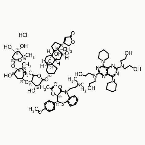 COc1ccc([C@@H]2Sc3ccccc3N(CCN(C)C)C(=O)[C@@H]2OC(C)=O)cc1.C[C@H]1O[C@@H](O[C@H]2[C@@H](O)C[C@H](O[C@H]3[C@@H](O)C[C@H](O[C@H]4CC[C@@]5(C)[C@H](CC[C@@H]6[C@@H]5C[C@@H](O)[C@]5(C)[C@@H](C7=CC(=O)OC7)CC[C@]65O)C4)O[C@@H]3C)O[C@@H]2C)C[C@H](O)[C@@H]1O.Cl.OCCN(CCO)c1nc(N2CCCCC2)c2nc(N(CCO)CCO)nc(N3CCCCC3)c2n1